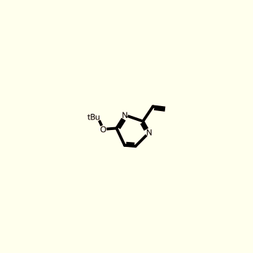 C=Cc1nccc(OC(C)(C)C)n1